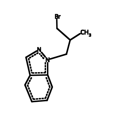 CC(CBr)Cn1ncc2ccccc21